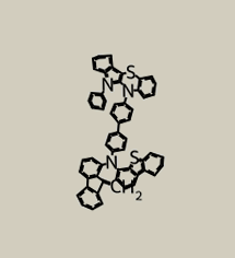 C=C1c2ccccc2-c2cccc(N(c3ccc(-c4ccc(N5c6ccccc6Sc6c5n(-c5ccccc5)c5ccccc65)cc4)cc3)c3cccc4c3sc3ccccc34)c21